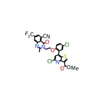 COC(=O)c1csc2c(-c3cc(Cl)ccc3OCCn3c(C)nc4cc(C(F)(F)F)cc(C#N)c4c3=O)cc(Cl)nc12